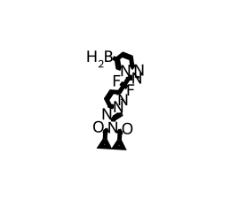 Bc1ccc2nnc(C(F)(F)c3ccc4nc(N(C(=O)C5CC5)C(=O)C5CC5)cn4n3)n2c1